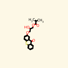 C=C(C)C(=O)OCC(O)COc1ccc2sc3ccccc3c(=O)c2c1